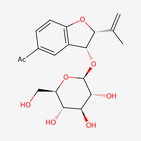 C=C(C)[C@H]1Oc2ccc(C(C)=O)cc2[C@H]1O[C@@H]1O[C@H](CO)[C@@H](O)[C@H](O)[C@H]1O